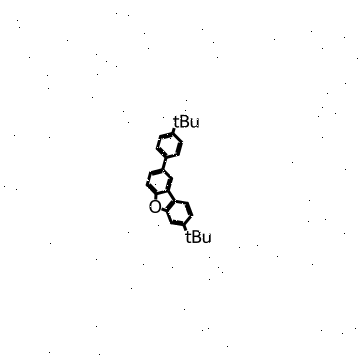 CC(C)(C)c1ccc(-c2ccc3oc4cc(C(C)(C)C)ccc4c3c2)cc1